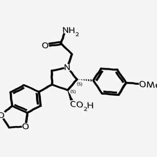 COc1ccc([C@@H]2[C@@H](C(=O)O)C(c3ccc4c(c3)OCO4)CN2CC(N)=O)cc1